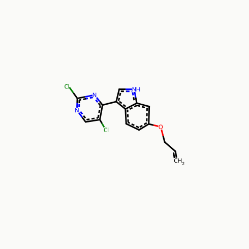 C=CCOc1ccc2c(-c3nc(Cl)ncc3Cl)c[nH]c2c1